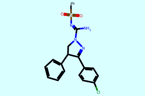 CC(C)S(=O)(=O)N=C(N)N1CC(c2ccccc2)C(c2ccc(Cl)cc2)=N1